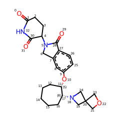 O=C1CCC(N2Cc3cc(O[C@H]4CCCCC[C@H]4N4CC5(COC5)C4)ccc3C2=O)C(=O)N1